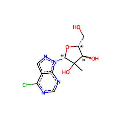 CC1(O)[C@H](O)[C@@H](CO)O[C@H]1n1ncc2c(Cl)ncnc21